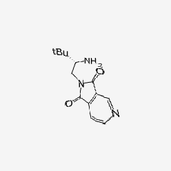 CC(C)(C)[C@H](N)CN1C(=O)c2ccncc2C1=O